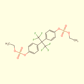 CCOS(=O)(=O)Oc1ccc(C(c2ccc(OS(=O)(=O)OCC)cc2)(C(F)(F)F)C(F)(F)F)cc1